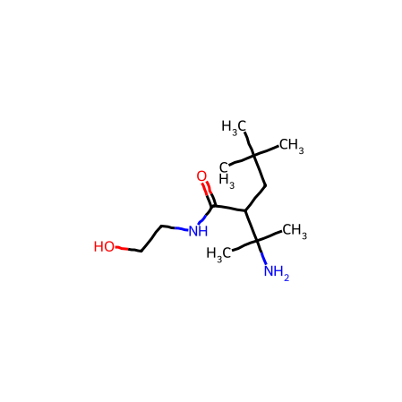 CC(C)(C)CC(C(=O)NCCO)C(C)(C)N